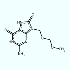 COCOCn1c(=O)[nH]c2c(=O)[nH]c(N)nc21